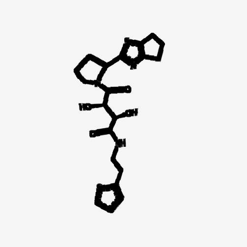 O=C(NCCc1cccs1)[C@H](O)[C@@H](O)C(=O)N1CCCC1c1nc2c(s1)CCC2